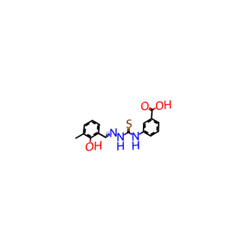 Cc1cccc(/C=N/NC(=S)Nc2cccc(C(=O)O)c2)c1O